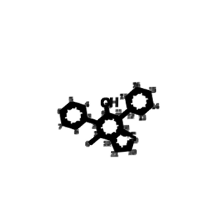 Cc1c(-c2ccccc2)c(O)c(-c2ccccc2)c2sccc12